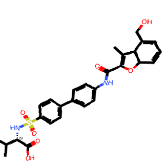 CC1=C(C(=O)Nc2ccc(-c3ccc(S(=O)(=O)N[C@H](C(=O)O)C(C)C)cc3)cc2)OC2C=CC=C(CO)C12